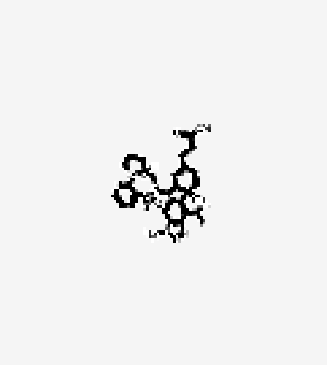 Cn1nnc2c(C(F)F)c(C3(C)C=CC(CCC(=O)O)=CC3CN3C[C@H]4CCCN4c4ncccc4S3(=O)=O)ccc21